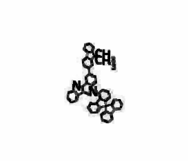 CC1(C)c2ccccc2-c2ccc(-c3ccc4c(c3)c3nc5ccccc5c-3cn4-c3cccc4c3-c3ccccc3C43c4ccccc4-c4ccccc43)cc21